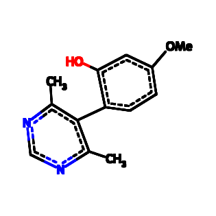 COc1ccc(-c2c(C)ncnc2C)c(O)c1